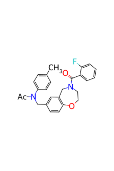 CC(=O)N(Cc1ccc2c(c1)CN(C(=O)c1ccccc1F)CCO2)c1ccc(C)cc1